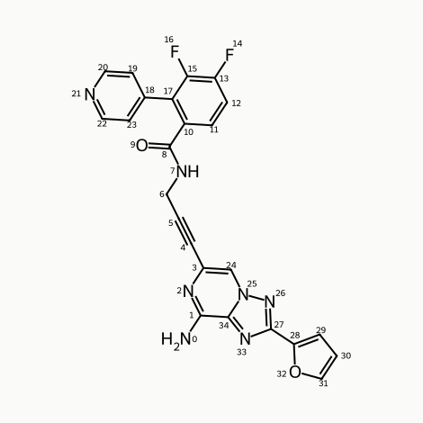 Nc1nc(C#CCNC(=O)c2ccc(F)c(F)c2-c2ccncc2)cn2nc(-c3ccco3)nc12